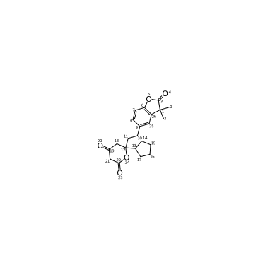 CC1(C)C(=O)Oc2ccc(CCC3(C4CCCC4)CC(=O)CC(=O)O3)cc21